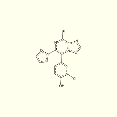 Oc1ccc(-c2c(-c3ccco3)nc(Br)c3nccn23)cc1Cl